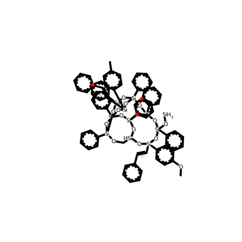 COc1ccc([Si]2(/C=C/c3ccccc3)O[SiH]3CO[Si]4(c5ccccc5)O[SiH](c5ccccc5)O[Si]5(c6ccccc6)O[Si](/C=C/c6ccccc6)(c6ccc(C)cc6)O[Si](c6ccccc6)(O4)O[Si](c4ccccc4)(O3)O[Si](c3ccccc3)(O[Si](O[SiH3])(c3ccccc3)O2)O5)cc1